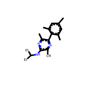 CCC(CC)Nc1nc(C)c(-c2c(C)cc(C)cc2C)nc1C#N